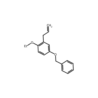 C=CCc1cc(OCc2ccccc2)ccc1OCC